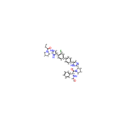 CCC(=O)N1CCC[C@H]1C1NC=C(c2ccc(-c3ccc(-c4cnc([C@@H]5CCCN5C(=O)[C@H](NC=O)c5ccccc5)[nH]4)cc3)cc2F)N1